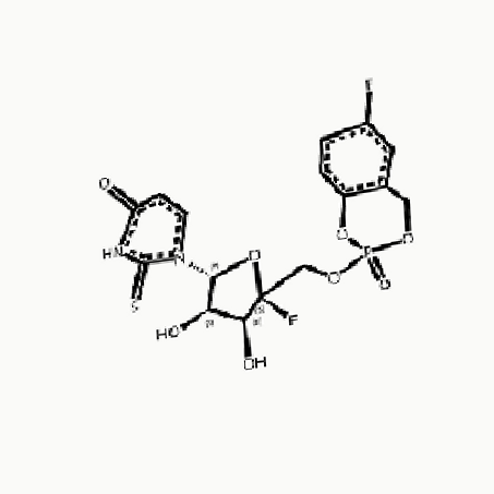 O=c1ccn([C@@H]2O[C@](F)(COP3(=O)OCc4cc(F)ccc4O3)[C@@H](O)[C@H]2O)c(=S)[nH]1